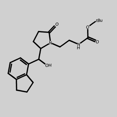 CC(C)(C)OC(=O)NCCN1C(=O)CCC1C(O)c1cccc2c1CCC2